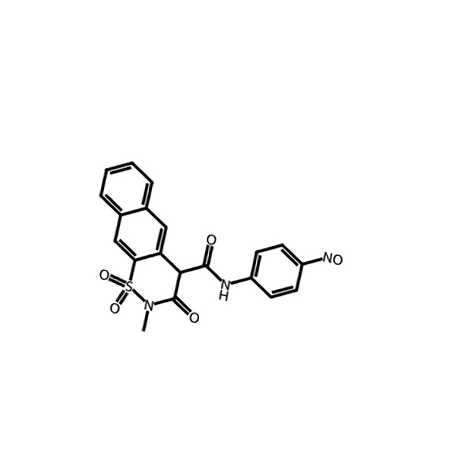 CN1C(=O)C(C(=O)Nc2ccc(N=O)cc2)c2cc3ccccc3cc2S1(=O)=O